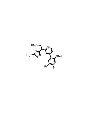 COc1cc(F)c(C(C)C)cc1-c1ccnc(C(CC(=O)O)c2nnc(C)o2)c1